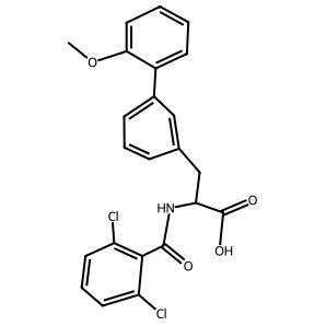 COc1ccccc1-c1cccc(CC(NC(=O)c2c(Cl)cccc2Cl)C(=O)O)c1